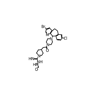 N=C(NNC=O)N1CCC(CC(=O)N2CCN(C3c4ccc(Cl)cc4CCc4cc(Br)cnc43)CC2)CC1